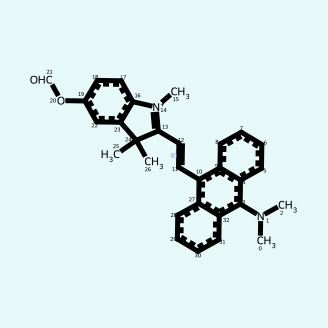 CN(C)c1c2ccccc2c(/C=C/C2=[N+](C)c3ccc(OC=O)cc3C2(C)C)c2ccccc12